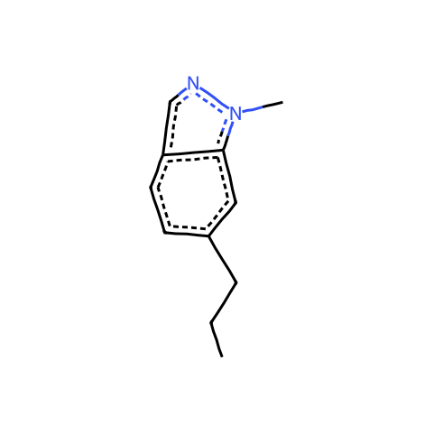 CCCc1ccc2cnn(C)c2c1